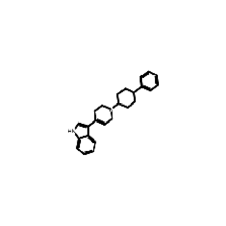 C1=C(c2c[nH]c3ccccc23)CCN(C2CCC(c3ccccc3)CC2)C1